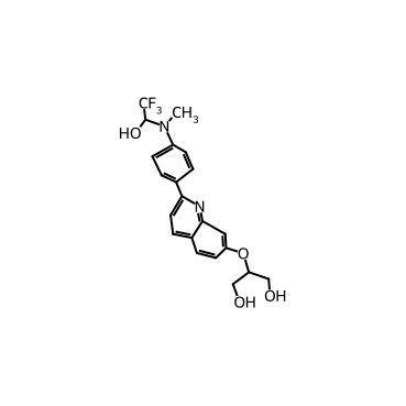 CN(c1ccc(-c2ccc3ccc(OC(CO)CO)cc3n2)cc1)C(O)C(F)(F)F